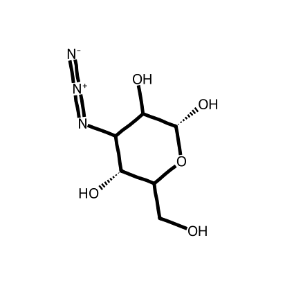 [N-]=[N+]=NC1C(O)[C@H](O)OC(CO)[C@@H]1O